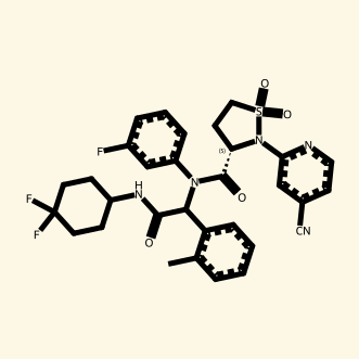 Cc1ccccc1C(C(=O)NC1CCC(F)(F)CC1)N(C(=O)[C@@H]1CCS(=O)(=O)N1c1cc(C#N)ccn1)c1cccc(F)c1